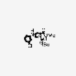 COC(=O)[C@@H]1C[C@H](Nc2cccc(Cl)c2)CN1C(=O)OC(C)(C)C